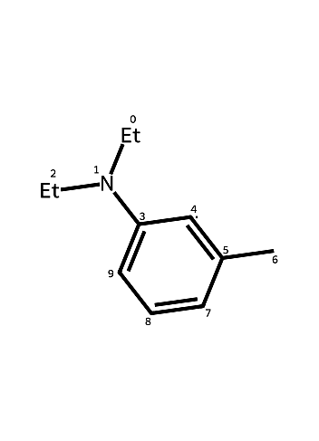 CCN(CC)c1[c]c(C)ccc1